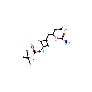 C=CC(CC1CC(NC(=O)OC(C)(C)C)C1)OC(N)=O